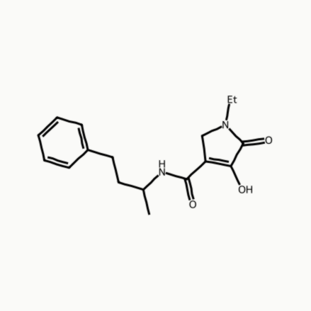 CCN1CC(C(=O)NC(C)CCc2ccccc2)=C(O)C1=O